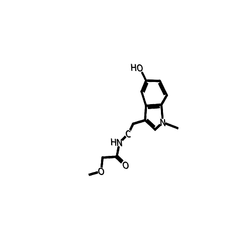 COCC(=O)NCCc1cn(C)c2ccc(O)cc12